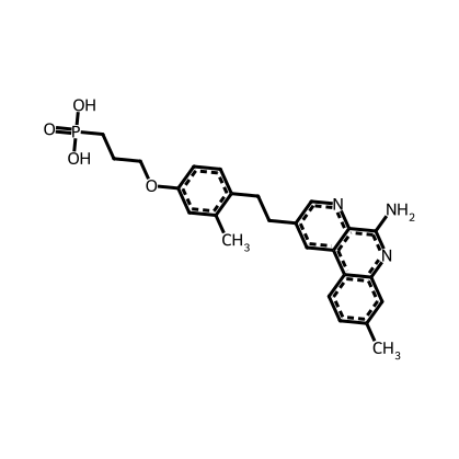 Cc1ccc2c(c1)nc(N)c1ncc(CCc3ccc(OCCCP(=O)(O)O)cc3C)cc12